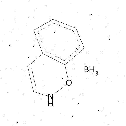 B.C1=Cc2ccccc2ON1